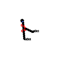 CCCCCCCC/C=C\CCCCCCCC(=O)OCC(COC(=O)CCCN1CCCC1)OC(=O)CCCCCCC/C=C\CCCCCCCC